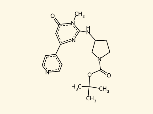 Cn1c(NC2CCN(C(=O)OC(C)(C)C)C2)nc(-c2ccncc2)cc1=O